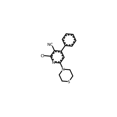 N#Cc1c(-c2ccccc2)cc(N2CCSCC2)nc1Cl